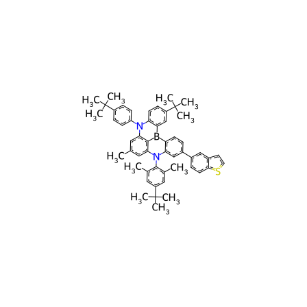 Cc1cc2c3c(c1)N(c1c(C)cc(C(C)(C)C)cc1C)c1cc(-c4ccc5sccc5c4)ccc1B3c1cc(C(C)(C)C)ccc1N2c1ccc(C(C)(C)C)cc1